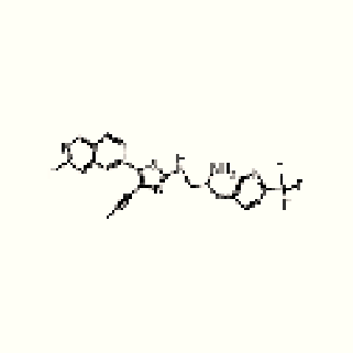 CC#Cc1nc(NCC(N)Cc2ccc(C(F)(F)F)nc2)sc1-c1ccc2cnc(F)cc2c1